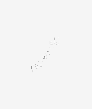 O=C(Nc1ccc(N=Nc2ccc(-c3ccc(NC(=O)C(F)(F)F)cc3)cc2)cc1)C(F)(F)F